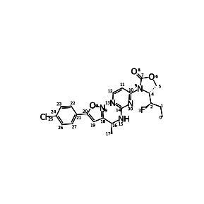 CC[C@@H](F)[C@H]1COC(=O)N1c1ccnc(N[C@@H](C)c2cc(-c3ccc(Cl)cc3)on2)n1